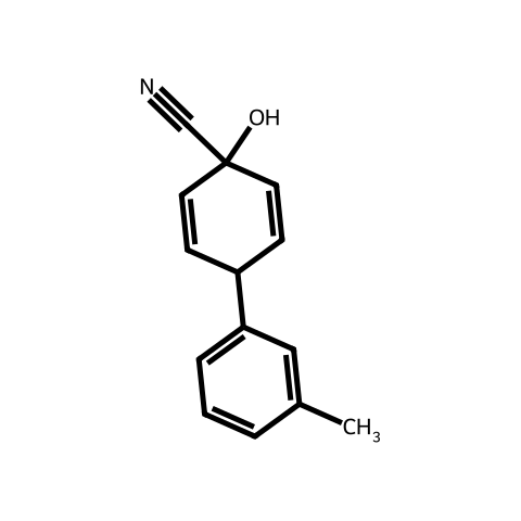 Cc1cccc(C2C=CC(O)(C#N)C=C2)c1